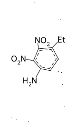 CCc1ccc(N)c([N+](=O)[O-])c1[N+](=O)[O-]